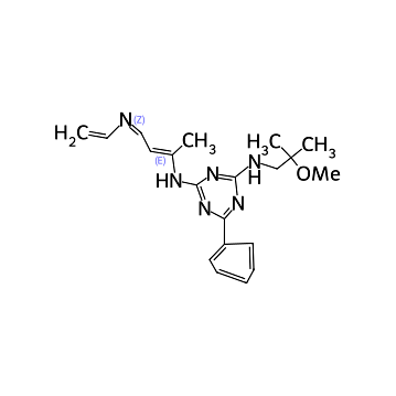 C=C/N=C\C=C(/C)Nc1nc(NCC(C)(C)OC)nc(-c2ccccc2)n1